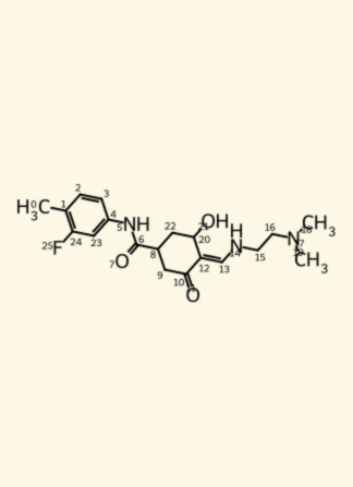 Cc1ccc(NC(=O)C2CC(=O)/C(=C/NCCN(C)C)C(O)C2)cc1F